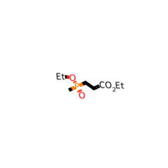 CCOC(=O)CCP(C)(=O)OCC